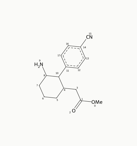 COC(=O)CC1CCCC(N)C1c1ccc(C#N)cc1